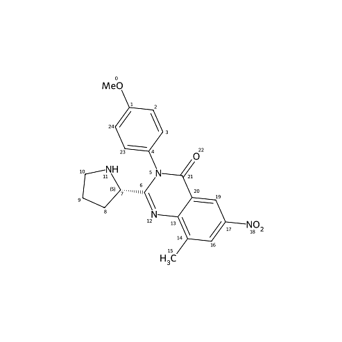 COc1ccc(-n2c([C@@H]3CCCN3)nc3c(C)cc([N+](=O)[O-])cc3c2=O)cc1